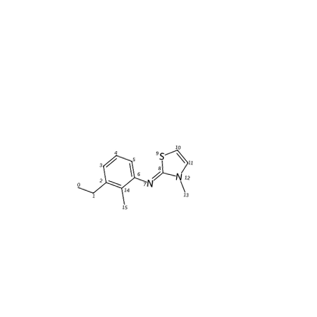 CCc1cccc(N=c2sccn2C)c1C